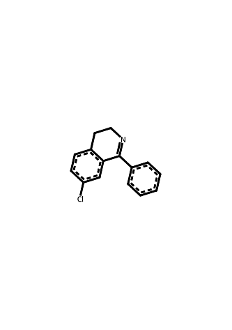 Clc1ccc2c(c1)C(c1ccccc1)=NCC2